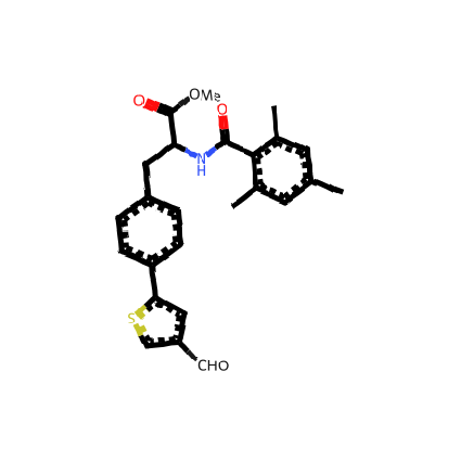 COC(=O)C(Cc1ccc(-c2cc(C=O)cs2)cc1)NC(=O)c1c(C)cc(C)cc1C